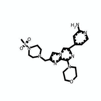 CS(=O)(=O)N1CCN(Cc2cn3cc(-c4ccnc(N)c4)nc(N4CCOCC4)c3n2)CC1